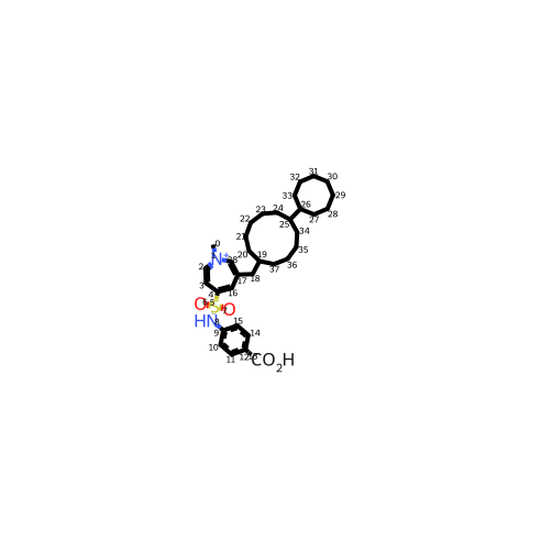 C[N+]1=C=CC(S(=O)(=O)Nc2ccc(C(=O)O)cc2)=CC(CC2CCCCCC(C3CCCCCCC3)CCCC2)=C1